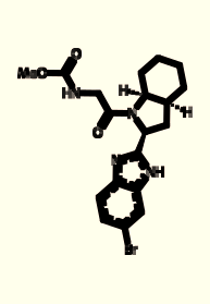 COC(=O)NCC(=O)N1[C@H](c2nc3ccc(Br)cc3[nH]2)C[C@@H]2CCCC[C@@H]21